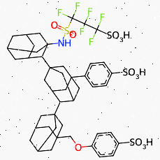 O=S(=O)(O)c1ccc(OCC23CC4CC(C2)CC(C2C5CC6(c7ccc(S(=O)(=O)O)cc7)CC2CC(C2C7CC8CC(C7)CC2(NS(=O)(=O)C(F)(F)C(F)(F)C(F)(F)S(=O)(=O)O)C8)(C5)C6)(C4)C3)cc1